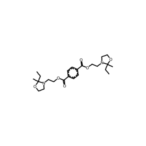 CCC1(C)OCCN1CCOC(=O)c1ccc(C(=O)OCCN2CCOC2(C)CC)cc1